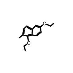 CCOc1ccc2c(OCC)c(C)ccc2c1